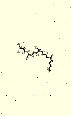 C=CCCCC(C)CCCCC(C)CCCC(C)CCCC(C)C